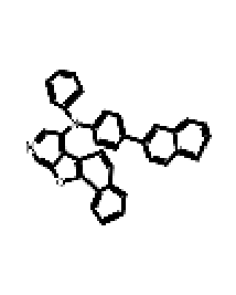 c1ccc(N(c2ccc(-c3ccc4ccccc4c3)cc2)c2cncc3oc4c5ccccc5ccc4c23)cc1